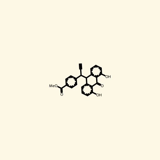 C#CC(c1ccc(C(=O)OC)cc1)C1c2cccc(O)c2C(=O)c2c(O)cccc21